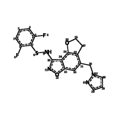 Fc1cccc(F)c1SNc1noc2cc(Cn3cccn3)c3c(c12)OCC3